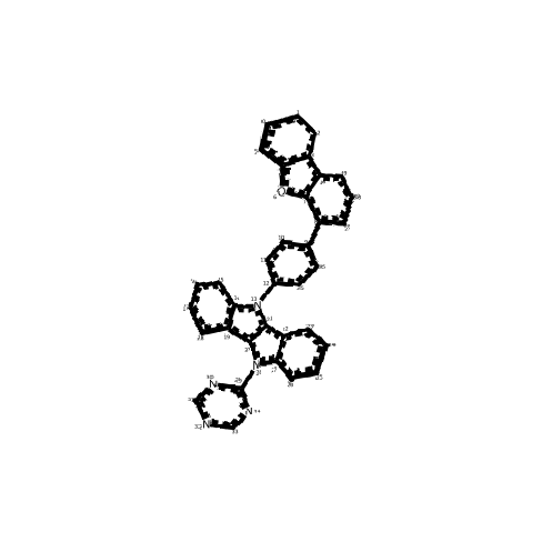 c1ccc2c(c1)oc1c(-c3ccc(-n4c5ccccc5c5c4c4ccccc4n5-c4ncncn4)cc3)cccc12